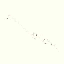 C=C1CC(CCCCCCCCCOc2ccc(C(=O)Oc3ccc(/C=C/C(=O)OCC)cc3)cc2)OC1=O